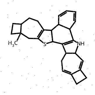 CC12CCC1CCC1=C(C2)SC2C3=C(NC4C=C5CCC5=CCC34)C3C=CC=CC3C12